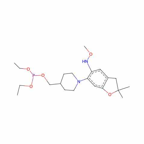 CCOP(OCC)OCC1CCN(c2cc3c(cc2NOC)CC(C)(C)O3)CC1